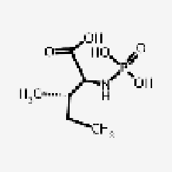 CC[C@H](C)[C@H](NP(=O)(O)O)C(=O)O